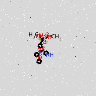 CCOC(=O)COc1c(C(=O)OC)sc(-c2cccc(OC(C(=O)Nc3ccccc3Oc3ccccc3)C3CCNCC3)c2)c1Br